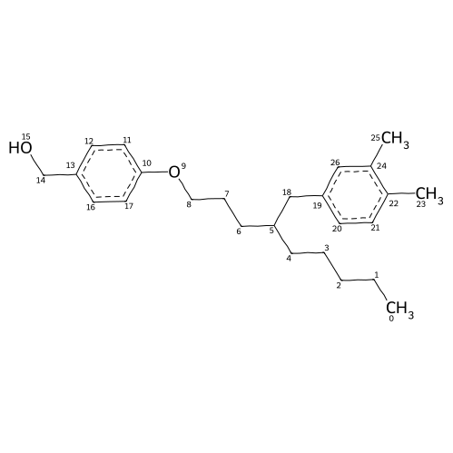 CCCCCC(CCCOc1ccc(CO)cc1)Cc1ccc(C)c(C)c1